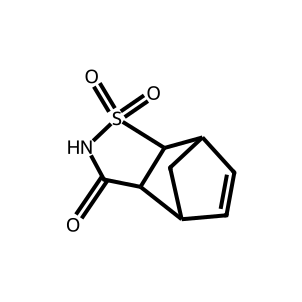 O=C1NS(=O)(=O)C2C3C=CC(C3)C12